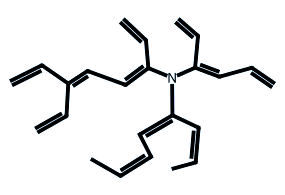 C=C/C=C(\C=C)N(/C(C=C)=C/C=C(C=C)C=C)C(/C=C\C)=C/C=C\C